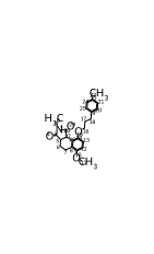 CCN1C(=O)C2CCc3c(OC)ccc(OCCCc4ccc(C)cc4)c3C2C1=O